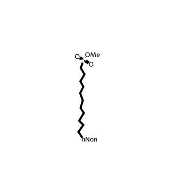 CCCCCCCCCCCCCCCCCCCCS(=O)(=O)OC